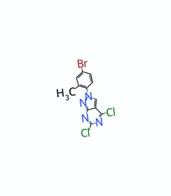 Cc1cc(Br)ccc1-n1cc2c(Cl)nc(Cl)nc2n1